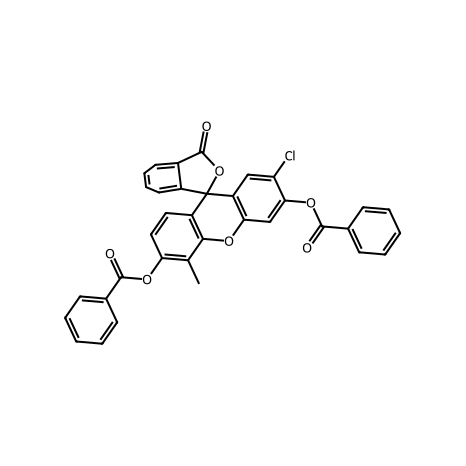 Cc1c(OC(=O)c2ccccc2)ccc2c1Oc1cc(OC(=O)c3ccccc3)c(Cl)cc1C21OC(=O)c2ccccc21